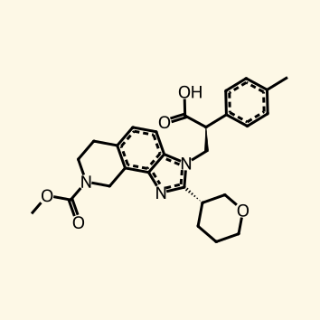 COC(=O)N1CCc2ccc3c(nc([C@H]4CCCOC4)n3C[C@@H](C(=O)O)c3ccc(C)cc3)c2C1